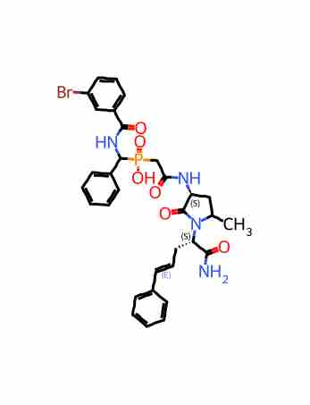 CC1C[C@H](NC(=O)CP(=O)(O)C(NC(=O)c2cccc(Br)c2)c2ccccc2)C(=O)N1[C@@H](C/C=C/c1ccccc1)C(N)=O